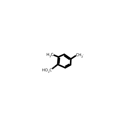 [CH2]c1ccc(C(=O)O)c(C)c1